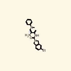 C=C(NC(=O)N1Cc2ccc(CC)cc2C1)/C(N)=C\N(C)c1ccccc1